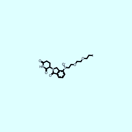 O=C1CCC(N2Cc3c(cccc3[S+]([O-])CCOCCOCCI)C2=O)C(=O)N1